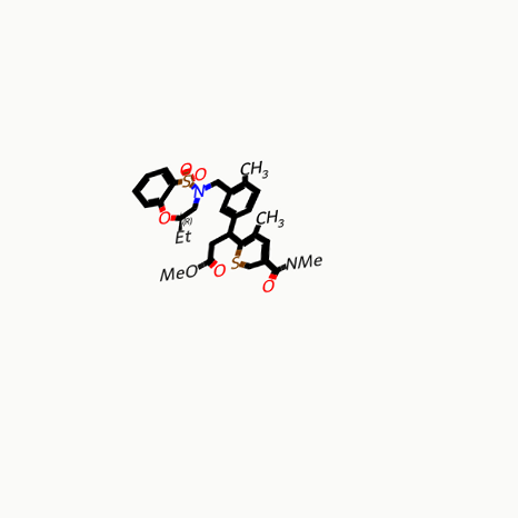 CC[C@@H]1CN(Cc2cc(C(CC(=O)OC)C3=C(C)C=C(C(=O)NC)CS3)ccc2C)S(=O)(=O)c2ccccc2O1